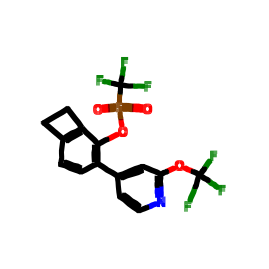 O=S(=O)(Oc1c(-c2ccnc(OC(F)(F)F)c2)ccc2c1CC2)C(F)(F)F